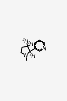 [2H]C1([2H])CCN(C)[C@]1([2H])c1cccnc1